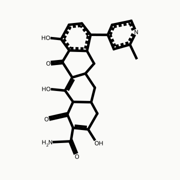 Cc1cc(-c2ccc(O)c3c2CC2CC4CC(O)=C(C(N)=O)C(=O)C4C(O)=C2C3=O)ccn1